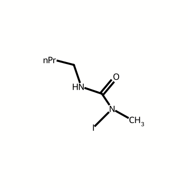 CCCCNC(=O)N(C)I